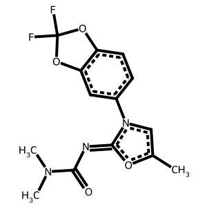 Cc1cn(-c2ccc3c(c2)OC(F)(F)O3)c(=NC(=O)N(C)C)o1